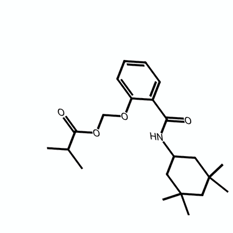 CC(C)C(=O)OCOc1ccccc1C(=O)NC1CC(C)(C)CC(C)(C)C1